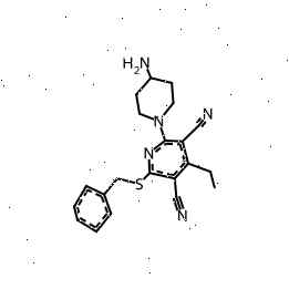 CCc1c(C#N)c(SCc2ccccc2)nc(N2CCC(N)CC2)c1C#N